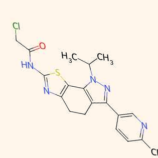 Cc1ccc(-c2nn(C(C)C)c3c2CCc2nc(NC(=O)CCl)sc2-3)cn1